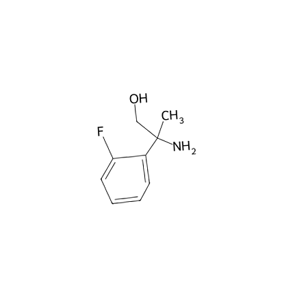 CC(N)(CO)c1ccccc1F